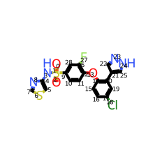 O=S(=O)(Nc1cscn1)c1ccc(Oc2ccc(Cl)cc2-c2cn[nH]c2)c(F)c1